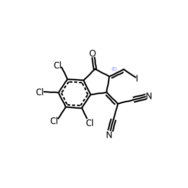 N#CC(C#N)=C1/C(=C\I)C(=O)c2c(Cl)c(Cl)c(Cl)c(Cl)c21